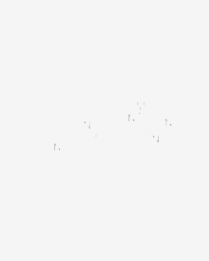 Cc1ncc(C(=O)N2CCC(c3nc4c(s3)CCN(C3CCC3)CC4)CC2)cn1